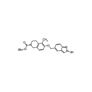 Cc1c(OCc2ccc3nn(C(C)C)cc3c2)ccc2c1CCN(C(=O)OC(C)(C)C)C2